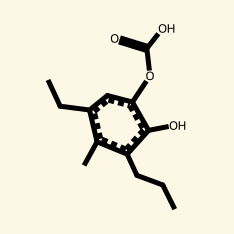 CCCc1c(C)c(CC)cc(OC(=O)O)c1O